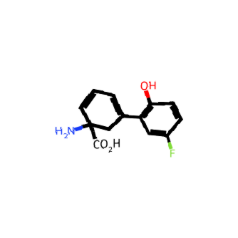 NC1(C(=O)O)C=CC=C(c2cc(F)ccc2O)C1